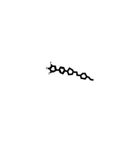 CCCC1CCC(CCC2CCC(c3ccc(-c4cc(F)c(F)c(F)c4)cc3)CC2)CC1